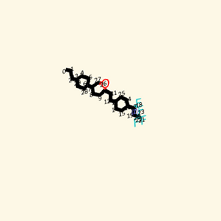 CCCC1CCC(C2CCC(CCC3CCC(/C(F)=C/C(F)(F)F)CC3)OC2)CC1